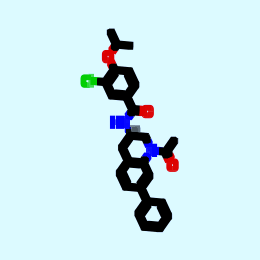 CC(=O)N1C[C@@H](NC(=O)c2ccc(OC(C)C)c(Cl)c2)Cc2ccc(-c3ccccc3)cc21